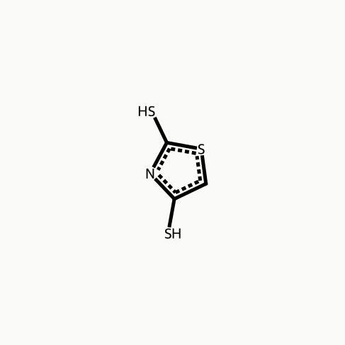 Sc1csc(S)n1